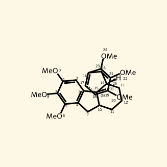 COc1cc2c(c(OC)c1OC)CC1CCC[C@H]3Cc4c(cc(OC)c(OC)c4OC)[C@@]213